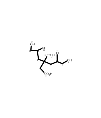 O=C(O)CC(CC(O)CO)(CC(O)CO)C(=O)O